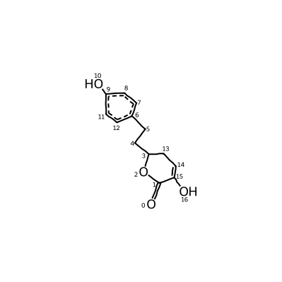 O=C1OC(CCc2ccc(O)cc2)CC=C1O